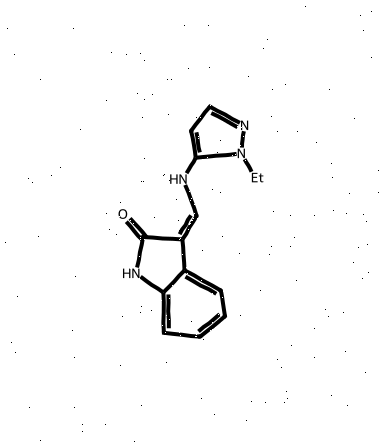 CCn1nccc1NC=C1C(=O)Nc2ccccc21